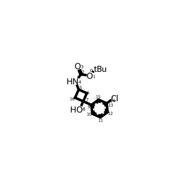 CC(C)(C)OC(=O)NC1CC(O)(c2cccc(Cl)c2)C1